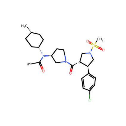 CC(C)C(=O)N([C@H]1CCN(C(=O)[C@@H]2CN(S(C)(=O)=O)C[C@H]2c2ccc(Cl)cc2)C1)[C@H]1CC[C@@H](C)CC1